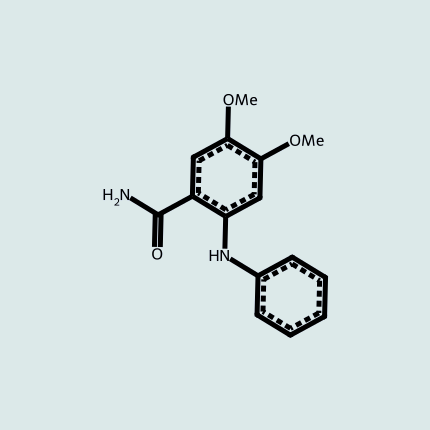 COc1cc(Nc2ccccc2)c(C(N)=O)cc1OC